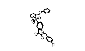 O=C1C(=O)N(Cc2ccc(Cl)cc2)c2ccc(S(=O)(=O)N3CCC[C@H]3COc3ccccc3)cc21